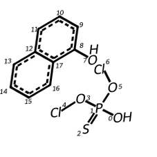 OP(=S)(OCl)OCl.Oc1cccc2ccccc12